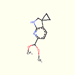 COC(OC)c1ccc2c(n1)NCC21CC1